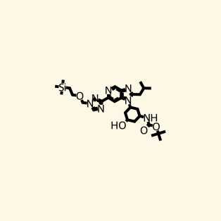 CC(C)Cc1nc2cnc(-c3ncn(COCC[Si](C)(C)C)n3)cc2n1C1CC(O)CC(NC(=O)OC(C)(C)C)C1